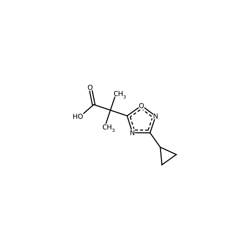 CC(C)(C(=O)O)c1nc(C2CC2)no1